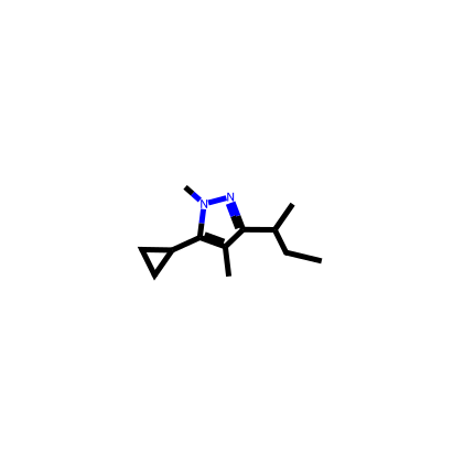 CCC(C)c1nn(C)c(C2CC2)c1C